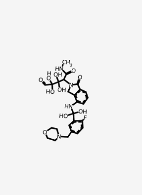 CNC(=O)C(N1Cc2c(NC(O)(O)c3cc(CN4CCOCC4)ccc3F)cccc2C1=O)C(O)(O)C(O)(O)C=O